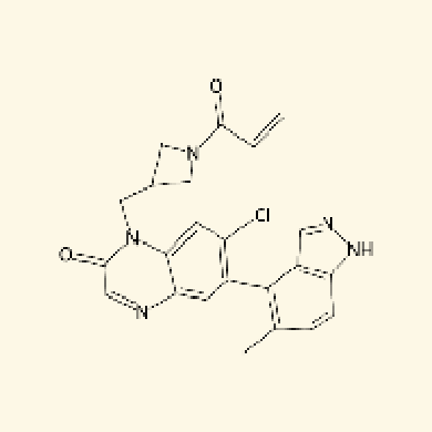 C=CC(=O)N1CC(Cn2c(=O)cnc3cc(-c4c(C)ccc5[nH]ncc45)c(Cl)cc32)C1